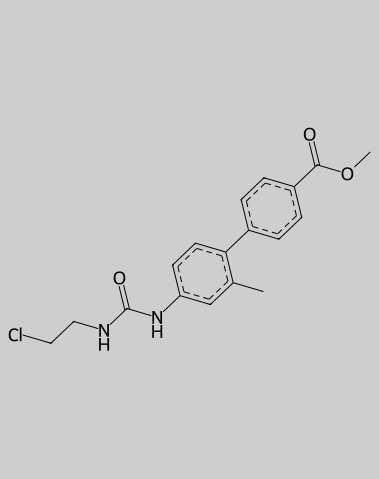 COC(=O)c1ccc(-c2ccc(NC(=O)NCCCl)cc2C)cc1